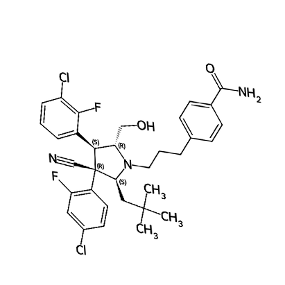 CC(C)(C)C[C@@H]1N(CCCc2ccc(C(N)=O)cc2)[C@@H](CO)[C@H](c2cccc(Cl)c2F)[C@@]1(C#N)c1ccc(Cl)cc1F